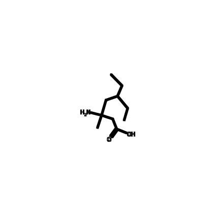 CCC(CC)CC(C)(N)CC(=O)O